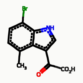 Cc1ccc(Br)c2[nH]cc(C(=O)C(=O)O)c12